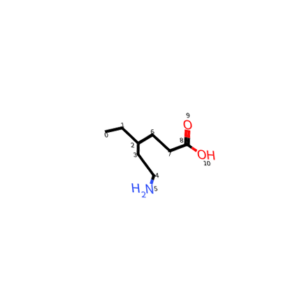 CCC(CCN)CCC(=O)O